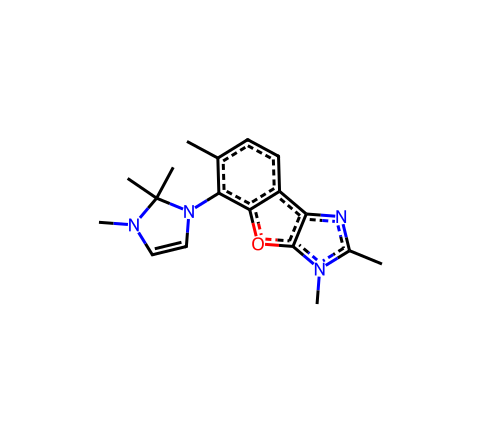 Cc1ccc2c(oc3c2nc(C)n3C)c1N1C=CN(C)C1(C)C